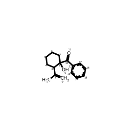 C=C(C)C1CCCCC1(O)C(=O)c1ccccc1